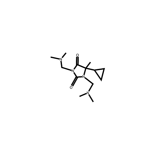 CN(C)CN1C(=O)N(CN(C)C)C(C)(C2CC2)C1=O